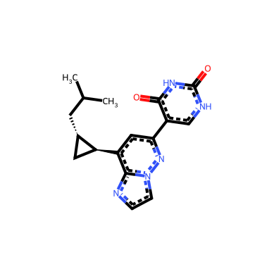 CC(C)C[C@H]1C[C@@H]1c1cc(-c2c[nH]c(=O)[nH]c2=O)nn2ccnc12